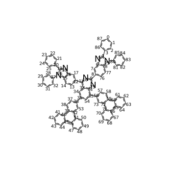 c1ccc(-c2nc3cc(-c4nc(-c5ccc6c(c5)nc(-c5ccccc5)n6-c5ccccc5)c5cc(-c6ccc7c8ccccc8c8ccccc8c7c6)cc(-c6ccc7c8ccccc8c8ccccc8c7c6)c5n4)ccc3n2-c2ccccc2)cc1